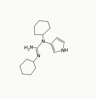 NC(=NC1CCCCC1)N(c1cc[nH]c1)C1CCCCC1